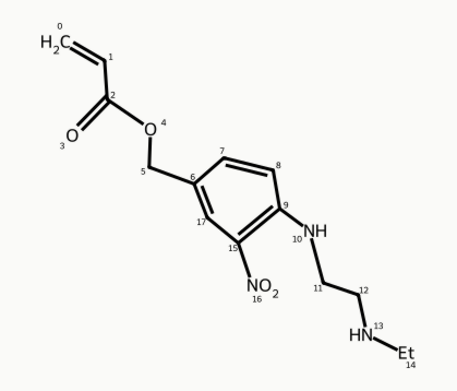 C=CC(=O)OCc1ccc(NCCNCC)c([N+](=O)[O-])c1